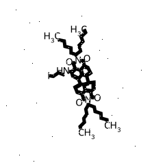 CCCCCCC(CCCCCC)N1C(=O)c2ccc3c4ccc5c6c(c(NCCCI)cc(c7ccc(c2c37)C1=O)c64)C(=O)N(C(CCCCCC)CCCCCC)C5=O